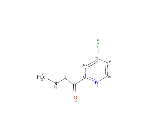 CBCC(=O)c1cc(Cl)ccn1